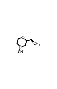 C=CC1CB(C#N)CCO1